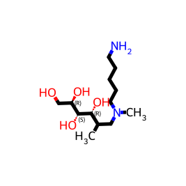 CC(CN(C)CCCCCN)[C@@H](O)[C@H](O)[C@H](O)CO